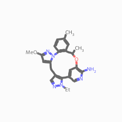 CCn1ncc2c1-c1cnc(N)c(c1)OC(C)c1cc(C)ccc1-n1nc(OC)cc1C2